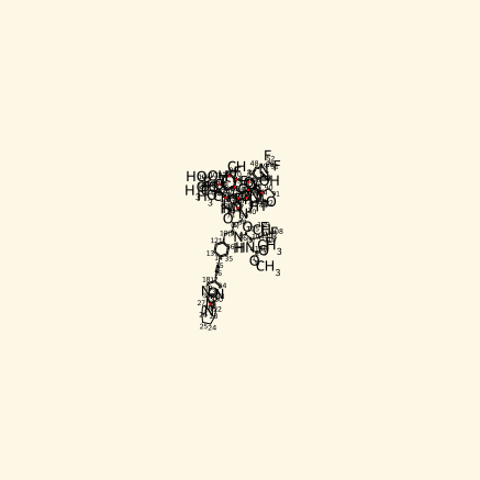 COC(=O)N[C@H](C(=O)N[C@@H](Cc1ccc(C#Cc2cnc(N3CC4CCC(C3)N4C3COC3)nc2)cc1)[C@H](CN(Cc1c(F)cc(-c2ccn(C(F)F)n2)cc1F)NC(=O)[C@@H](NC(=O)OC)C(C)(C)C(F)(F)F)OC(=O)CC(C)(C)c1c(CC(=O)N[C@@]2(C(=O)O)CCOC2)cc(C)cc1OP(=O)(O)O)C(C)(C)C(F)(F)F